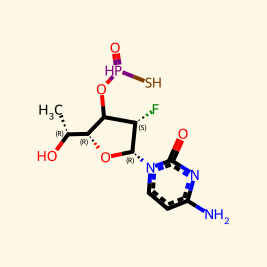 C[C@@H](O)[C@H]1O[C@@H](n2ccc(N)nc2=O)[C@@H](F)C1O[PH](=O)S